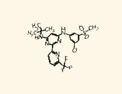 CC(C)(C)Nc1cc(Nc2cc(Cl)cc(S(C)(=O)=O)c2)nc(-c2cccc(C(F)(F)F)n2)n1